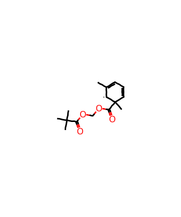 CC1=CC=CC(C)(C(=O)OCOC(=O)C(C)(C)C)[CH]1